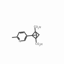 Cc1ccc(C2C3(C(=O)O)CC2(C(=O)O)C3)cn1